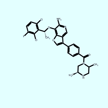 CC1CN[C@@H](C)CN1C(=O)c1ccc(-c2coc3c(O[C@H](C)c4c(Cl)ccc(F)c4Cl)c(N)ncc23)cc1